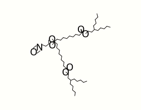 CCCCCC(CCCCC)CCOC(=O)CCCCCCCCC1(CCCCCCCCC(=O)OCCC(CCCCC)CCCCC)OCC(CCN2CCOCC2)O1